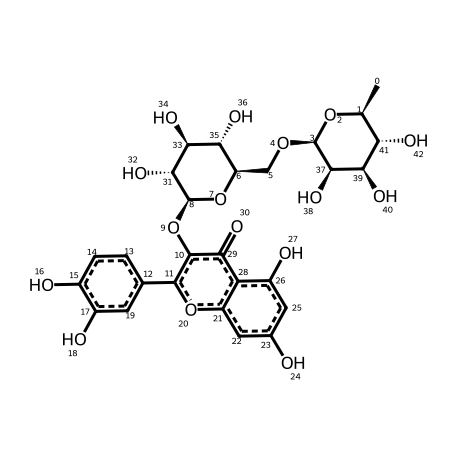 C[C@@H]1O[C@H](OC[C@H]2O[C@@H](Oc3c(-c4ccc(O)c(O)c4)oc4cc(O)cc(O)c4c3=O)[C@H](O)[C@@H](O)[C@@H]2O)[C@H](O)[C@H](O)[C@H]1O